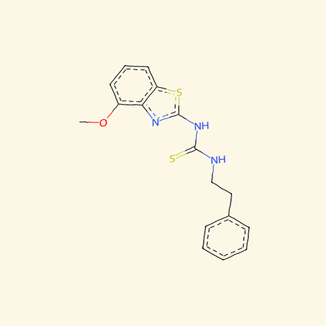 COc1cccc2sc(NC(=S)NCCc3ccccc3)nc12